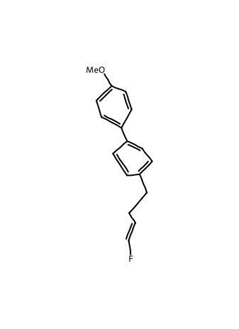 COc1ccc(-c2ccc(CCC=CF)cc2)cc1